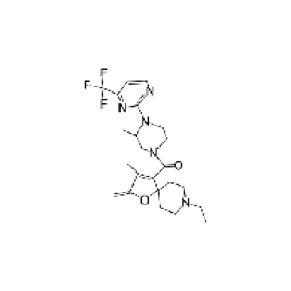 C=C1OC2(CCN(CC)CC2)C(C(=O)N2CCN(c3nccc(C(F)(F)F)n3)C(C)C2)=C1C